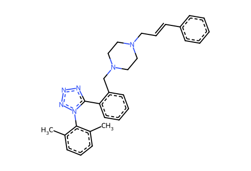 Cc1cccc(C)c1-n1nnnc1-c1ccccc1CN1CCN(CC=Cc2ccccc2)CC1